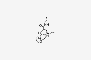 CCCNC(=O)[C@@H]1C[C@@H]2CC3(CC[C@H]2N(CCC)C1)OCCO3